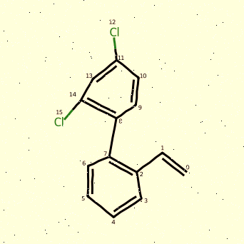 C=Cc1[c]cccc1-c1ccc(Cl)cc1Cl